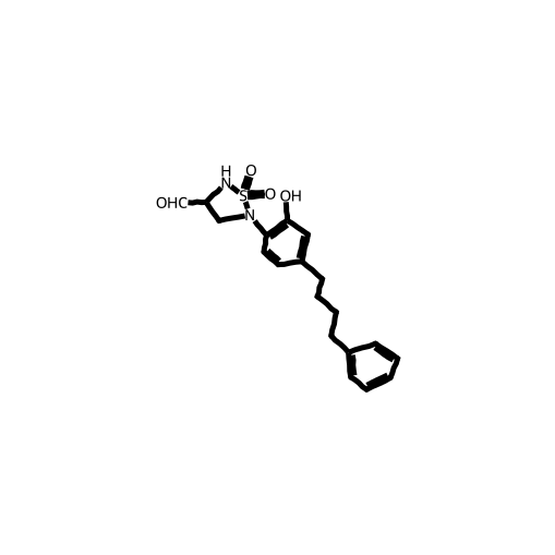 O=CC1CN(c2ccc(CCCCc3ccccc3)cc2O)S(=O)(=O)N1